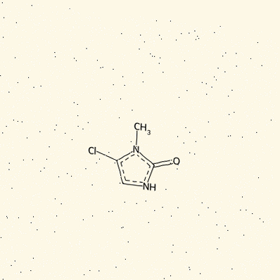 Cn1c(Cl)[c][nH]c1=O